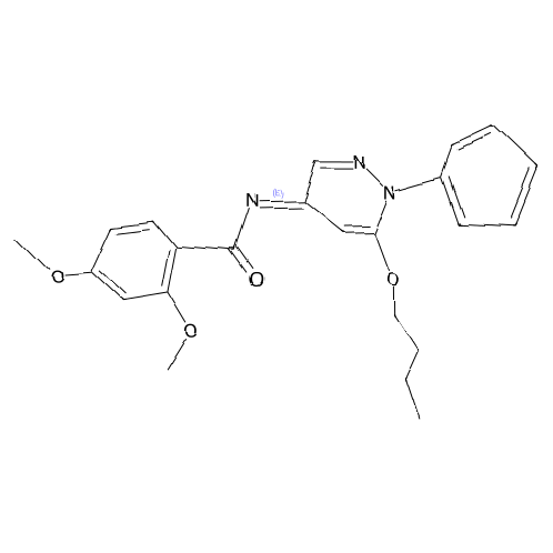 CCCCOc1c/c(=N\C(=O)c2ccc(OC)cc2OC)cnn1-c1ccccc1